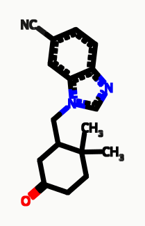 CC1(C)CCC(=O)CC1Cn1cnc2ccc(C#N)cc21